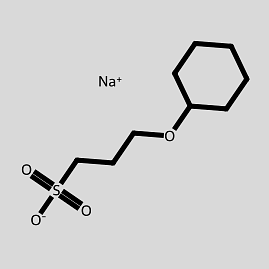 O=S(=O)([O-])CCCOC1CCCCC1.[Na+]